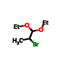 CCOC(OCC)C(C)Br